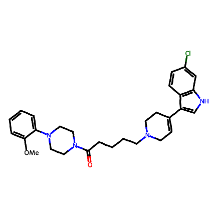 COc1ccccc1N1CCN(C(=O)CCCCN2CC=C(c3c[nH]c4cc(Cl)ccc34)CC2)CC1